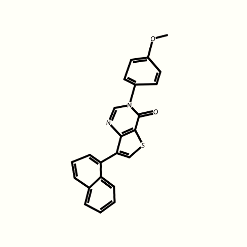 COc1ccc(-n2cnc3c(-c4cccc5ccccc45)csc3c2=O)cc1